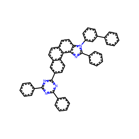 c1ccc(-c2cccc(-n3c(-c4ccccc4)nc4c5c(ccc6cc(-c7nc(-c8ccccc8)nc(-c8ccccc8)n7)ccc65)ccc43)c2)cc1